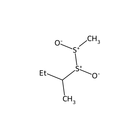 [CH2]CC(C)[S+]([O-])[S+](C)[O-]